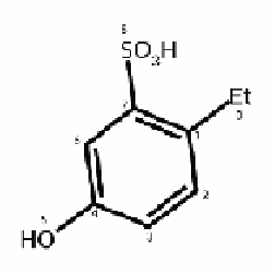 CCc1ccc(O)cc1S(=O)(=O)O